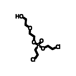 O=P(CCCl)(OCCCl)OCCOCCO